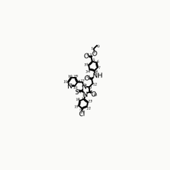 CCOC(=O)c1ccc(NC(=O)CC2C(=O)N(c3ccc(Cl)cc3)C(=S)N2Cc2cccnc2)cc1